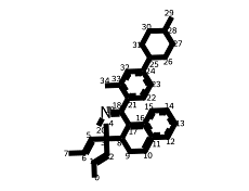 CC=CC(C)(C=CC)C1CC=c2ccccc2=C1/C(=N\C)c1ccc(C2CCC(C)CC2)cc1C